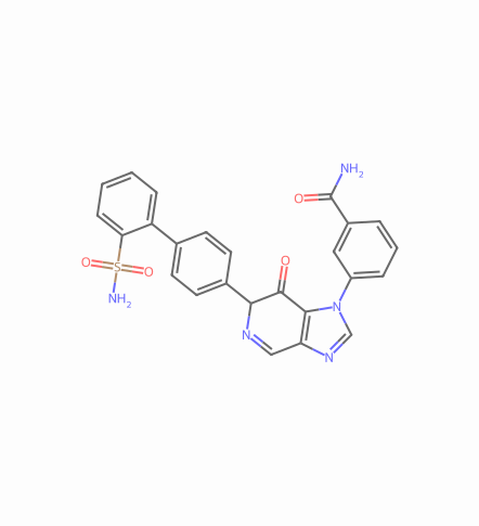 NC(=O)c1cccc(-n2cnc3c2C(=O)C(c2ccc(-c4ccccc4S(N)(=O)=O)cc2)N=C3)c1